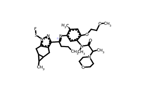 CCC/C(=N\c1cc(N(C)C(=O)C(C)N2CCOCC2)c(OCCOC)cc1C)c1nn(SF)c2c1CC1C(C)C1C2